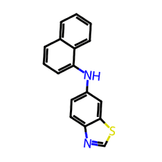 c1ccc2c(Nc3ccc4ncsc4c3)cccc2c1